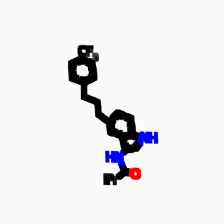 CC(C)C(=O)Nc1c[nH]c2ccc(CCCc3ccc(C(F)(F)F)cc3)cc12